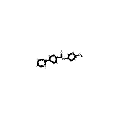 COc1ccc(NC(=O)c2ccc(-c3ccccn3)cc2)cn1